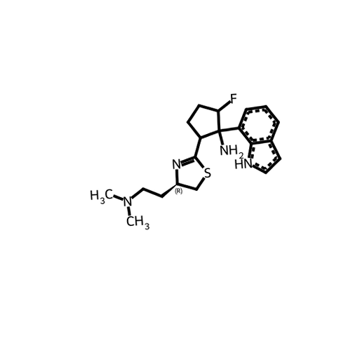 CN(C)CC[C@@H]1CSC(C2CCC(F)C2(N)c2cccc3cc[nH]c23)=N1